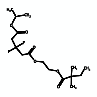 CCC(C)(C)C(=O)OCCOC(=O)CC(F)(F)CC(=O)OC(C)C